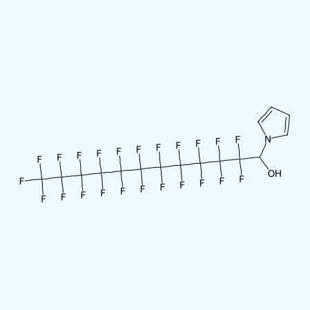 OC(n1cccc1)C(F)(F)C(F)(F)C(F)(F)C(F)(F)C(F)(F)C(F)(F)C(F)(F)C(F)(F)C(F)(F)C(F)(F)C(F)(F)F